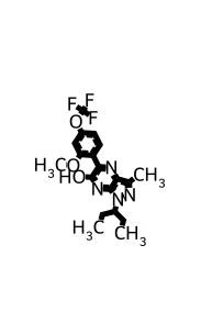 CCC(CC)n1nc(C)c2nc(-c3ccc(OC(F)(F)F)cc3OC)c(O)nc21